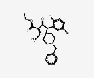 CCOC(=O)C1=C(N)C2(CCN(Cc3ccccc3)CC2)N(c2cc(Br)ccc2F)C1=O